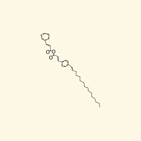 CCCCCCCCCCCCCCC=Cc1ccc(C=CC(=O)OC(=O)C=Cc2ccccc2)cc1